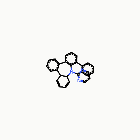 C1=CC2c3ccccc3-c3cccc(-c4ccccc4)c3N(c3ncccn3)C2C=C1